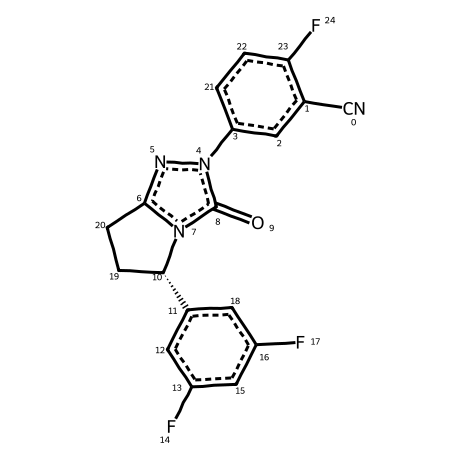 N#Cc1cc(-n2nc3n(c2=O)[C@H](c2cc(F)cc(F)c2)CC3)ccc1F